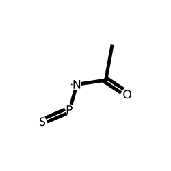 CC(=O)[N]P=S